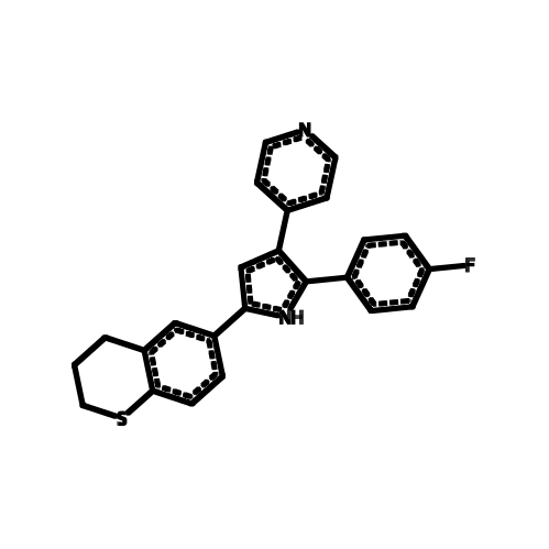 Fc1ccc(-c2[nH]c(-c3ccc4c(c3)CCCS4)cc2-c2ccncc2)cc1